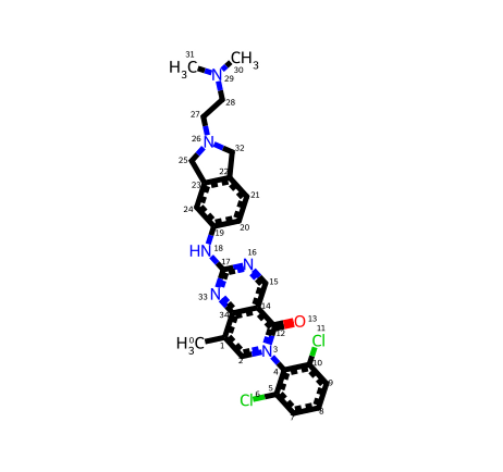 Cc1cn(-c2c(Cl)cccc2Cl)c(=O)c2cnc(Nc3ccc4c(c3)CN(CCN(C)C)C4)nc12